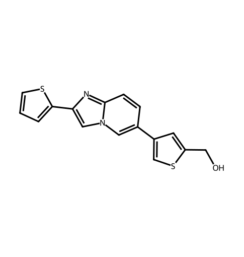 OCc1cc(-c2ccc3nc(-c4cccs4)cn3c2)cs1